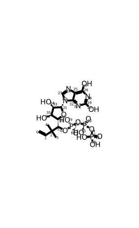 C=CC(C)(C)C(OP(=O)(O)OP(=O)(O)OP(=O)(O)O)[C@H]1O[C@@H](n2cnc3c(O)nc(O)nc32)[C@H](O)[C@@H]1O